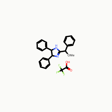 COC(C1=NC(c2ccccc2)C(c2ccccc2)N1)c1ccccc1.O=C(O)C(F)(F)F